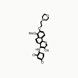 COc1c(OCCN2CCOCC2)ccc2c1ccc1c(Nc3ccc(Cl)cc3Cl)c(C#N)cnc12